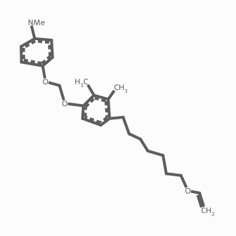 C=COCCCCCCCc1ccc(OCOc2ccc(NC)cc2)c(C)c1C